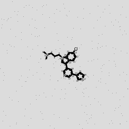 CN(C)CCCn1cc(-c2cncc(-c3ccsc3)c2)c2ccc(Cl)cc21